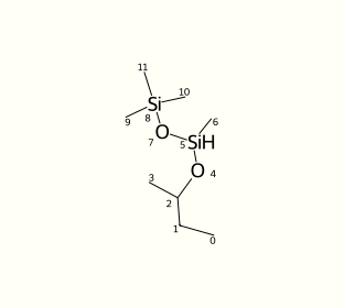 CCC(C)O[SiH](C)O[Si](C)(C)C